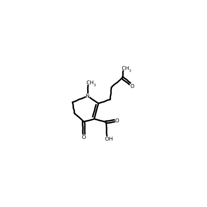 CC(=O)CCC1=C(C(=O)O)C(=O)CCN1C